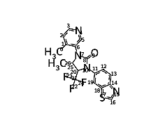 Cc1ccncc1N1C(=O)N(c2ccc3ncsc3c2)C(C(F)(F)F)C1C